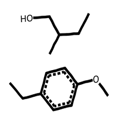 CCC(C)CO.CCc1ccc(OC)cc1